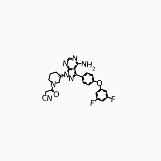 N#CCC(=O)N1CCC[C@@H](n2nc(-c3ccc(Oc4cc(F)cc(F)c4)cc3)c3c(N)ncnc32)C1